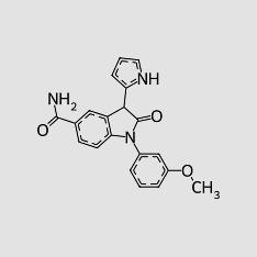 COc1cccc(N2C(=O)C(c3ccc[nH]3)c3cc(C(N)=O)ccc32)c1